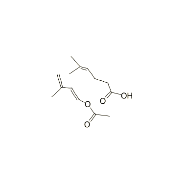 C=C(C)C=COC(C)=O.CC(C)=CCCC(=O)O